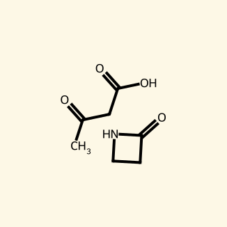 CC(=O)CC(=O)O.O=C1CCN1